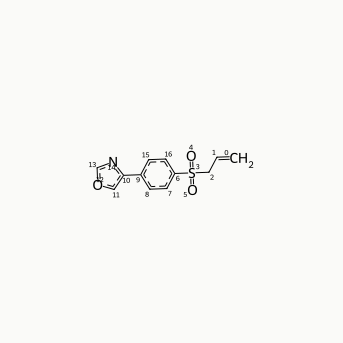 C=CCS(=O)(=O)c1ccc(-c2cocn2)cc1